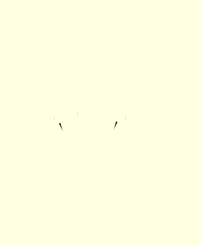 CO[C@@H]1O[C@H]([C@H](O)CO)[C@@](O)(Cc2ccccc2)[C@]1(O)Cc1ccccc1